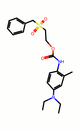 CCN(CC)c1ccc(NC(=O)OCCS(=O)(=O)Cc2ccccc2)c(C)c1